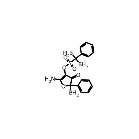 BC1(c2ccccc2)OC(N)=C(OS(=O)(=O)C(B)(B)c2ccccc2)C1=O